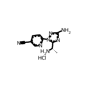 C[C@H](N)c1nc(N)nn1-c1ccc(C#N)cn1.Cl